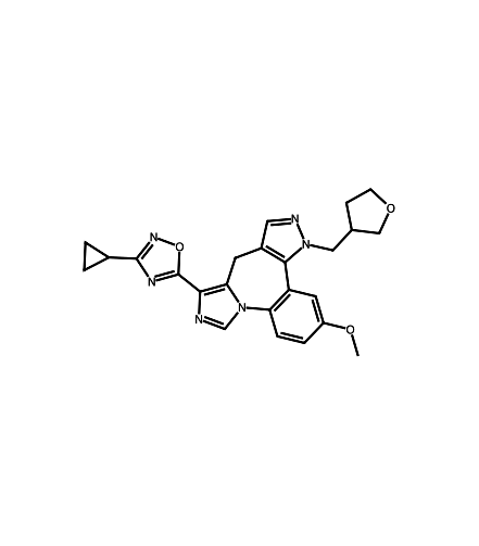 COc1ccc2c(c1)-c1c(cnn1CC1CCOC1)Cc1c(-c3nc(C4CC4)no3)ncn1-2